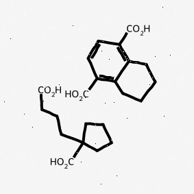 O=C(O)CCCC1(C(=O)O)CCCC1.O=C(O)c1ccc(C(=O)O)c2c1CCCC2